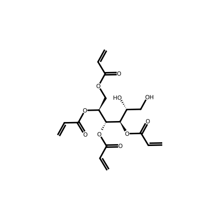 C=CC(=O)OC[C@H](OC(=O)C=C)[C@@H](OC(=O)C=C)[C@H](OC(=O)C=C)[C@H](O)CO